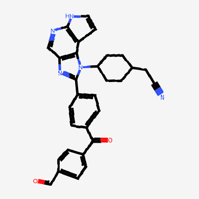 N#CCC1CCC(n2c(-c3ccc(C(=O)c4ccc(C=O)cc4)cc3)nc3cnc4[nH]ccc4c32)CC1